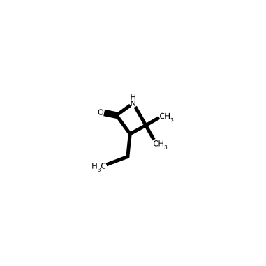 CCC1C(=O)NC1(C)C